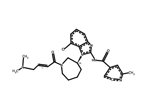 Cc1cc(C(=O)Nc2nc3cccc(Cl)c3n2[C@H]2CCCCN(C(=O)/C=C/CN(C)C)C2)ccn1